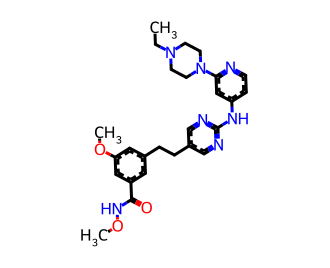 CCN1CCN(c2cc(Nc3ncc(CCc4cc(OC)cc(C(=O)NOC)c4)cn3)ccn2)CC1